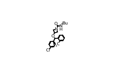 CCC(C)NC(=O)N1CC(OC(c2ccc(Cl)cc2)c2ccccc2C(F)(F)F)C1